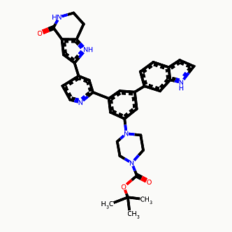 CC(C)(C)OC(=O)N1CCN(c2cc(-c3ccc4cc[nH]c4c3)cc(-c3cc(-c4cc5c([nH]4)CCNC5=O)ccn3)c2)CC1